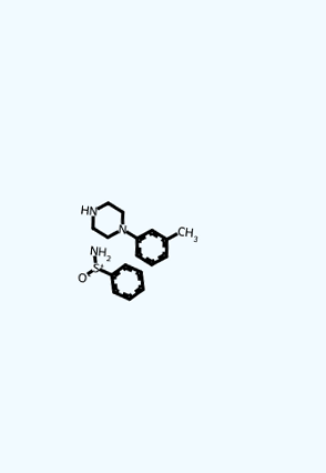 Cc1cccc(N2CCNCC2)c1.N[S+]([O-])c1ccccc1